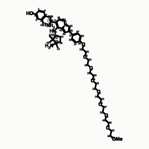 CCc1cc(O)ccc1/N=C(\N)c1cnn2cc(-c3ccc(OCCOCCOCCOCCOCCOCCOCCOCCOC)cc3)cc2c1N[C@@H]1CC[C@](C)(N)C1(C)C